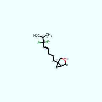 CC(C)C(F)(F)/C=C/CCCC12COCC1C2